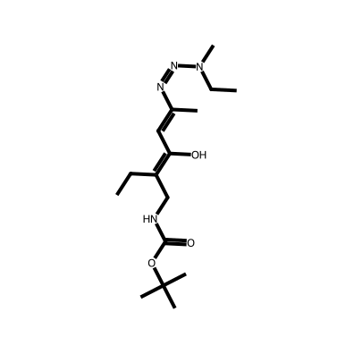 CC\C(CNC(=O)OC(C)(C)C)=C(O)/C=C(C)/N=N\N(C)CC